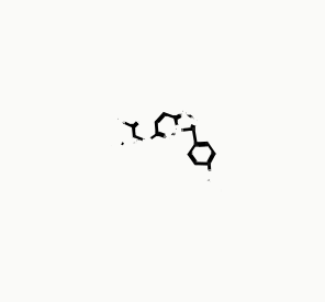 CC[C@@H](Sc1ccc2nnc(-c3ccc(OC)cc3)n2n1)C(N)=O